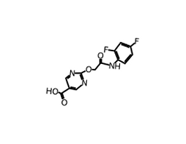 O=C(COc1ncc(C(=O)O)cn1)Nc1ccc(F)cc1F